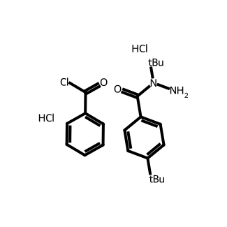 CC(C)(C)c1ccc(C(=O)N(N)C(C)(C)C)cc1.Cl.Cl.O=C(Cl)c1ccccc1